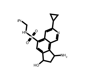 CC(C)CNS(=O)(=O)c1cc2c(c3cnc(C4CC4)cc13)C(N)CC2O